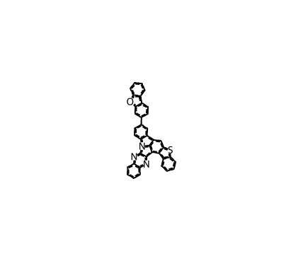 c1ccc2nc3c(nc2c1)c1c2c(cc4c5cc(-c6ccc7c(c6)oc6ccccc67)ccc5n3c41)sc1ccccc12